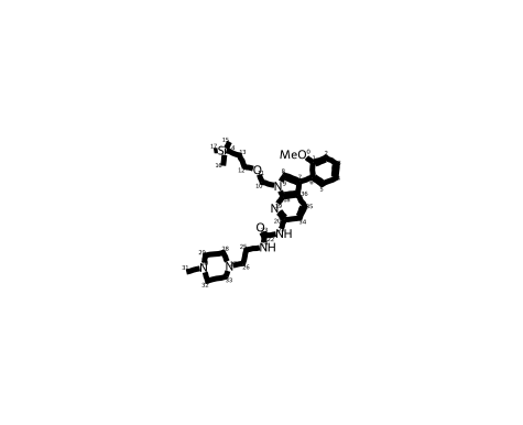 COc1ccccc1-c1cn(COCC[Si](C)(C)C)c2nc(NC(=O)NCCN3CCN(C)CC3)ccc12